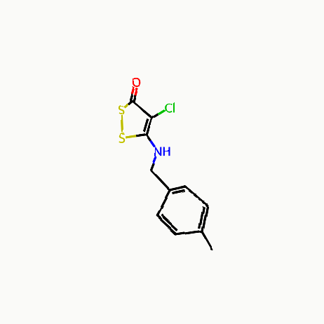 Cc1ccc(CNc2ssc(=O)c2Cl)cc1